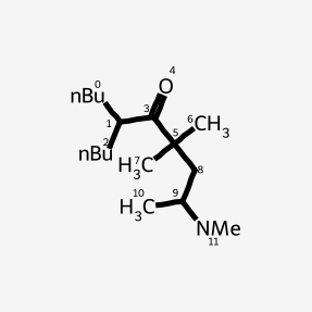 CCCCC(CCCC)C(=O)C(C)(C)CC(C)NC